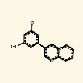 O=Cc1cc(Cl)cc(-c2cnc3ccccc3c2)c1